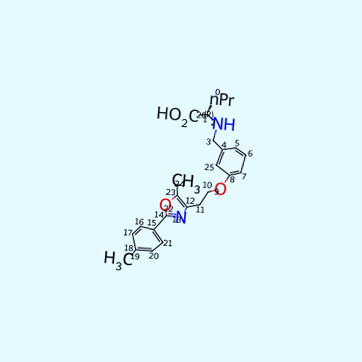 CCC[C@@H](NCc1cccc(OCCc2nc(-c3ccc(C)cc3)oc2C)c1)C(=O)O